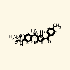 Cc1ccc(C(=O)c2cc(F)c(C(C)c3ccc(NS(N)(=O)=O)cc3)[nH]2)cc1